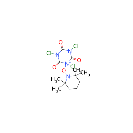 CC1(C)CCCC(C)(C)N1O[N+]1(Cl)C(=O)N(Cl)C(=O)N(Cl)C1=O